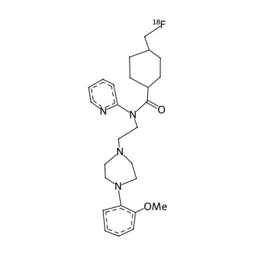 COc1ccccc1N1CCN(CCN(C(=O)C2CCC(C[18F])CC2)c2ccccn2)CC1